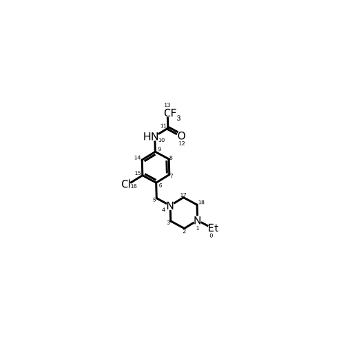 CCN1CCN(Cc2ccc(NC(=O)C(F)(F)F)cc2Cl)CC1